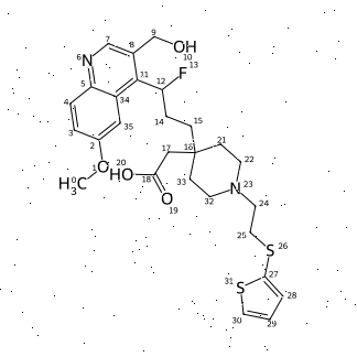 COc1ccc2ncc(CO)c(C(F)CCC3(CC(=O)O)CCN(CCSc4cccs4)CC3)c2c1